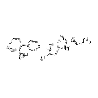 CCSc1nc2cc(-c3ccc(-c4ccccc4O)cc3)c(Cl)cc2[nH]1